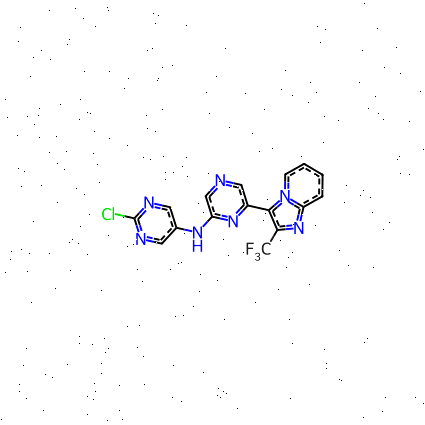 FC(F)(F)c1nc2ccccn2c1-c1cncc(Nc2cnc(Cl)nc2)n1